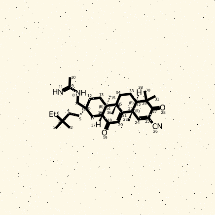 CCC(C)(C)CC[C@]1(CNC(C)=N)CC[C@]2(C)[C@@H](C1)C(=O)C=C1[C@@]3(C)C=C(C#N)C(=O)C(C)(C)[C@@H]3CC[C@]12C